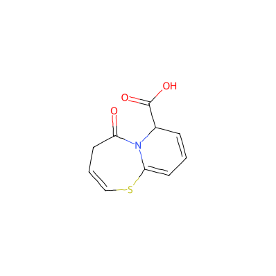 O=C(O)C1C=CC=C2SC=CCC(=O)N21